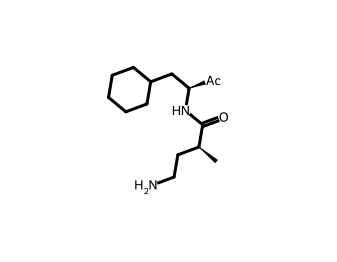 CC(=O)[C@H](CC1CCCCC1)NC(=O)[C@@H](C)CCN